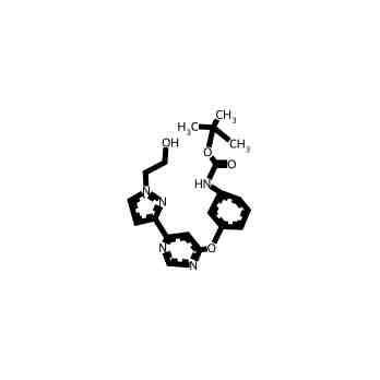 CC(C)(C)OC(=O)Nc1cccc(Oc2cc(-c3ccn(CCO)n3)ncn2)c1